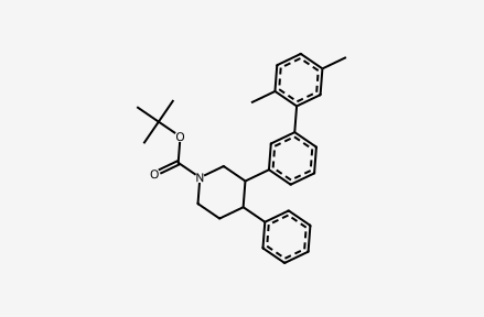 Cc1ccc(C)c(-c2cccc(C3CN(C(=O)OC(C)(C)C)CCC3c3ccccc3)c2)c1